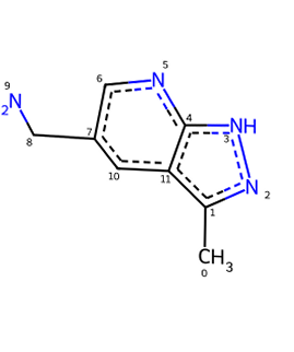 Cc1n[nH]c2ncc(CN)cc12